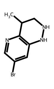 CC1CNNc2cc(Br)cnc21